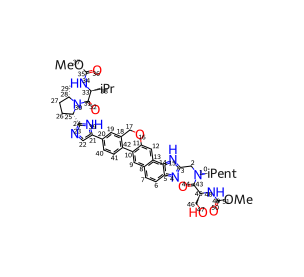 CCC[C@H](C)N(Cc1nc2ccc3cc4c(cc3c2[nH]1)OCc1cc(-c2cnc([C@@H]3CC[C@H](C)N3C(=O)[C@@H](NC(=O)OC)C(C)C)[nH]2)ccc1-4)C(=O)[C@H](CO)NC(=O)OC